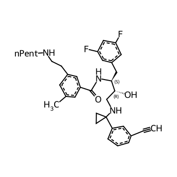 C#Cc1cccc(C2(NC[C@@H](O)[C@H](Cc3cc(F)cc(F)c3)NC(=O)c3cc(C)cc(CCNCCCCC)c3)CC2)c1